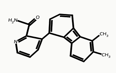 Cc1ccc2c(c1C)=c1cccc(-c3cccnc3C(N)=O)c1=2